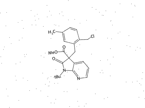 COC(=O)C1(Cc2cc(C)ccc2CCl)C(=O)N(C(C)(C)C)c2ncccc21